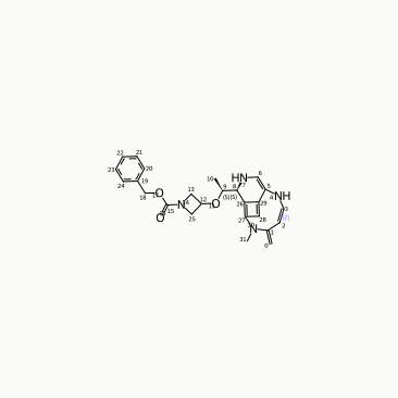 C=C1/C=C\NC2=CN[C@H]([C@H](C)OC3CN(C(=O)OCc4ccccc4)C3)C3=C(C=C23)N1C